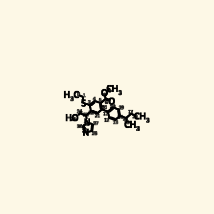 CCSc1cc(C(=O)OC)c(-c2ccc(C(C)CC)cc2)cc1C(CO)n1ccnc1